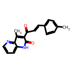 Cc1ccc(/C=C/C(=O)c2c(C)c3ncccc3[nH]c2=O)cc1